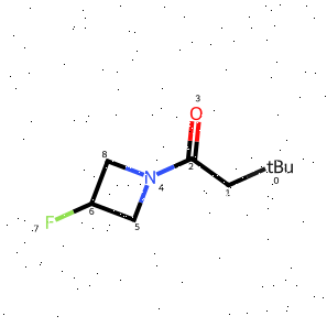 CC(C)(C)CC(=O)N1CC(F)C1